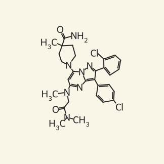 CN(C)C(=O)CN(C)c1cc(N2CCC(C)(C(N)=O)CC2)n2nc(-c3ccccc3Cl)c(-c3ccc(Cl)cc3)c2n1